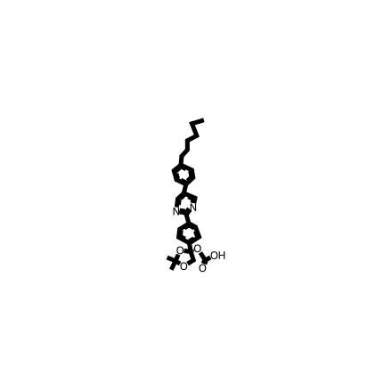 CCCCCCc1ccc(-c2cnc(-c3ccc([C@@]4(OC(=O)O)COC(C)(C)O4)cc3)nc2)cc1